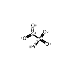 CCCS(=O)(=O)[SH](=O)=O